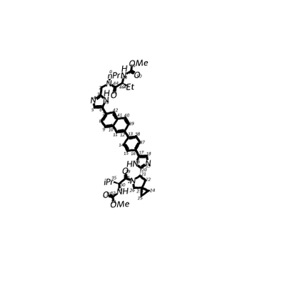 CCCN(Cc1ncc(-c2ccc3cc(-c4ccc(-c5cnc([C@@H]6CC7(CC7)CN6C(=O)[C@@H](NC(=O)OC)C(C)C)[nH]5)cc4)ccc3c2)[nH]1)C(=O)[C@H](CC)NC(=O)OC